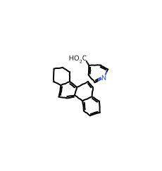 O=C(O)c1ccncc1.c1ccc2c(c1)ccc1c3c(ccc12)CCCC3